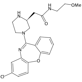 COCCNC(=O)C[C@H]1CN(C2=Nc3cc(Cl)ccc3Oc3ccccc32)CCN1